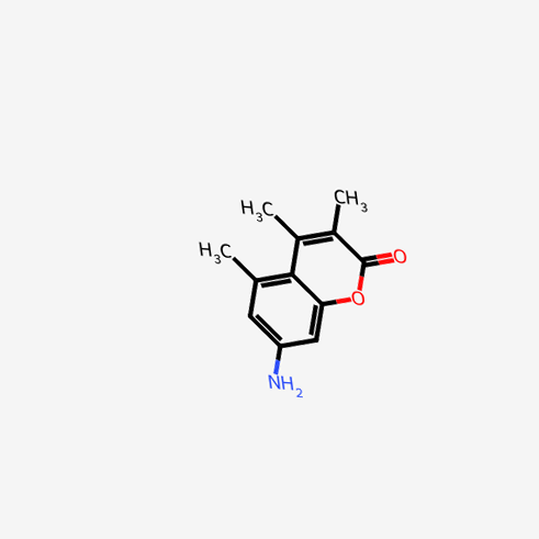 Cc1c(C)c2c(C)cc(N)cc2oc1=O